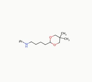 CC(C)NCCCCC1OCC(C)(C)CO1